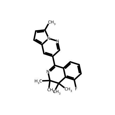 Cc1ccc2cc(C3=NC(C)(C)C(C)(C)c4c(F)cccc43)cnn12